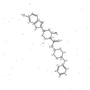 C[C@@H]1CN(c2nc3ccc(F)cc3s2)C[C@@H](C)N1C(=O)OC1CCN(Cc2ccncc2)CC1